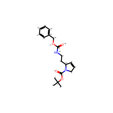 CC(C)(C)OC(=O)N1CC=CC1CCNC(=O)OCc1ccccc1